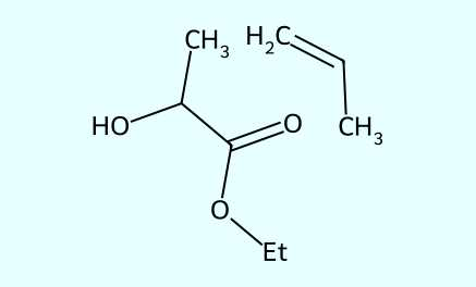 C=CC.CCOC(=O)C(C)O